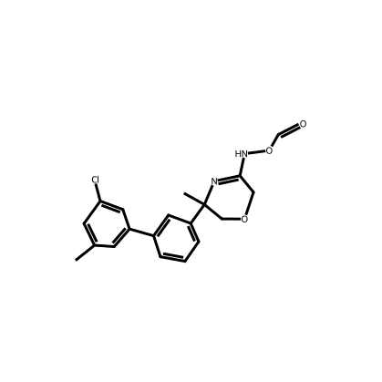 Cc1cc(Cl)cc(-c2cccc(C3(C)COCC(NOC=O)=N3)c2)c1